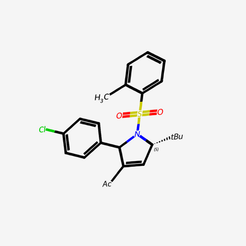 CC(=O)C1=C[C@@H](C(C)(C)C)N(S(=O)(=O)c2ccccc2C)C1c1ccc(Cl)cc1